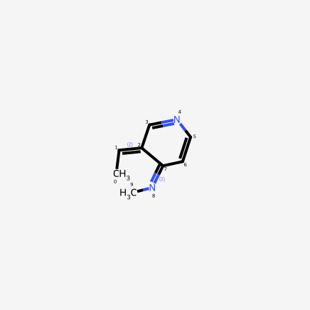 C/C=C1/C=NC=C/C1=N/C